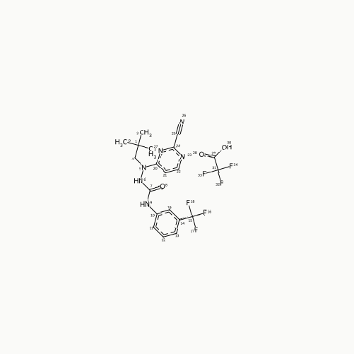 CC(C)(C)CN(NC(=O)Nc1cccc(C(F)(F)F)c1)c1ccnc(C#N)n1.O=C(O)C(F)(F)F